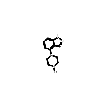 CCN1CCN(c2cccc3[nH]nnc23)CC1